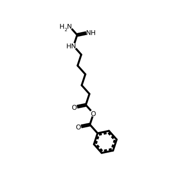 N=C(N)NCCCCCC(=O)OC(=O)c1ccccc1